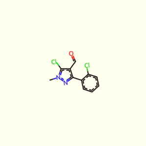 Cn1nc(-c2ccccc2Cl)c(C=O)c1Cl